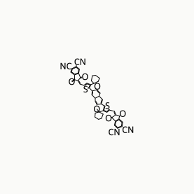 N#Cc1cc2c(cc1C#N)C(=O)C(=Cc1cc3c(s1)C1=CC4C=C5OC6(CCCCC6)c6cc(C=C7C(=O)c8cc(C#N)c(C#N)cc8C7=O)sc6C5=CC4C=C1OC31CCCCC1)C2=O